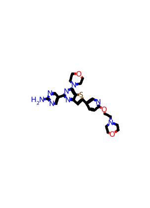 Nc1ncc(-c2nc(N3CCOCC3)c3sc(-c4ccc(OCCN5CCOCC5)nc4)cc3n2)cn1